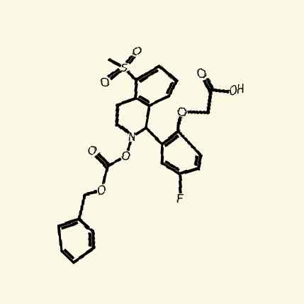 CS(=O)(=O)c1cccc2c1CCN(OC(=O)OCc1ccccc1)C2c1cc(F)ccc1OCC(=O)O